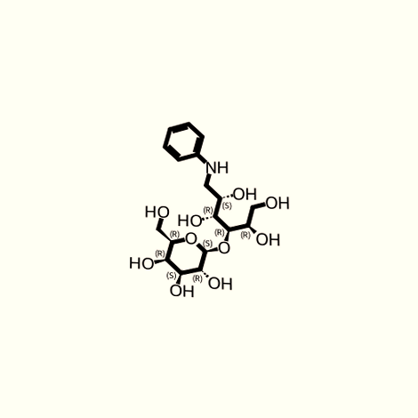 OC[C@@H](O)[C@@H](O[C@@H]1O[C@H](CO)[C@H](O)[C@H](O)[C@H]1O)[C@H](O)[C@@H](O)CNc1ccccc1